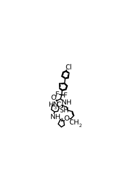 C=C(/C=C\CCC(C)(S)NC(C(=O)N1CCC(N)CC1)C(F)(F)c1ccc(-c2ccc(Cl)cc2)cc1)OC1CCCC1